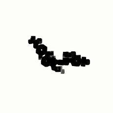 COc1nc(P(C)(C)=O)ccc1NCC#Cc1sc2c(N[C@@H]3CCN(CC(=O)N(C)C)C[C@@H]3F)cccc2c1CC(F)(F)F